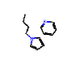 CCCCn1cccc1.c1ccncc1